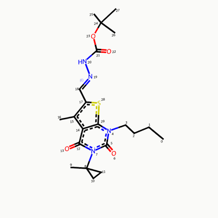 CCCCn1c(=O)n(C2(C)CC2)c(=O)c2c(C)c(/C=N/NC(=O)OC(C)(C)C)sc21